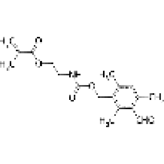 C=C(C)C(=O)OCCNC(=O)OCc1c(C)cc(C)c(C=O)c1C